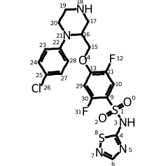 O=S(=O)(Nc1ncns1)c1cc(F)c(OCC2CNCCN2c2ccc(Cl)cc2)cc1F